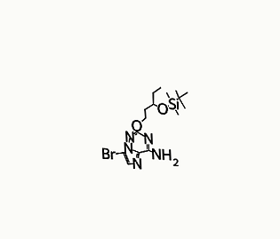 CCC(CCOc1nc(N)c2ncc(Br)n2n1)O[Si](C)(C)C(C)(C)C